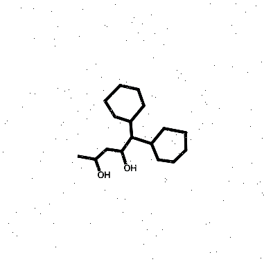 CC(O)CC(O)C(C1CCCCC1)C1CCCCC1